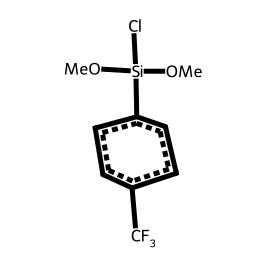 CO[Si](Cl)(OC)c1ccc(C(F)(F)F)cc1